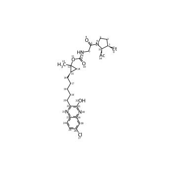 CC[C@@H]1CCN(C(=O)CNC(=O)OC2(C)C[C@H]2CCCCCc2nc3ccc(Cl)cc3nc2O)[C@@H]1C(C)=O